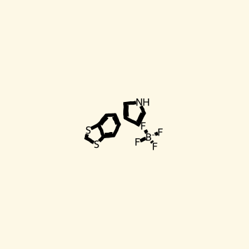 F[B-](F)(F)F.c1cc[nH]c1.c1ccc2c(c1)SCS2